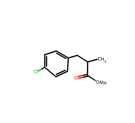 COC(=O)C(C)Cc1ccc(Cl)cc1